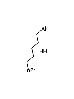 CCCCCCC[CH2][Al].[HH]